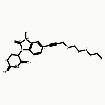 CCCOCCOCC#Cc1ccc2c(c1)n(C)c(=O)n2C1CCC(=O)NC1=O